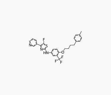 Cc1ccc(CCCCOc2ccc(Nc3nc(-c4cccnc4)c(F)s3)cc2C(F)(F)F)cc1